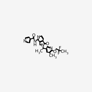 Cc1cc(C(C)N2Cc3c(ccnc3NC(=O)c3ccncc3)C2=O)cnc1OCC(C)(F)F